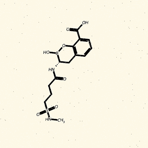 CNS(=O)(=O)CCCC(=O)N[C@H]1Cc2cccc(C(=O)O)c2OB1O